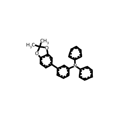 CC1(C)Oc2ccc(-c3cccc(N(c4ccccc4)c4ccccc4)c3)cc2O1